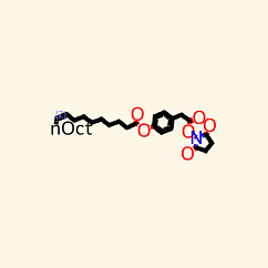 CCCCCCCC/C=C\CCCCCCCC(=O)Oc1ccc(CC(=O)ON2C(=O)CCC2=O)cc1